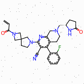 C=CC(=O)N1CC2(CCN(c3nc4c(c(-c5ccccc5F)c3C#N)CCN(C[C@@H]3CCC(=O)N3)C4)C2)C1